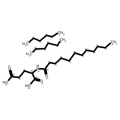 CCCCCC.CCCCCC.CCCCCCCCCCCC(=O)NC(CCC(=O)O)C(=O)O